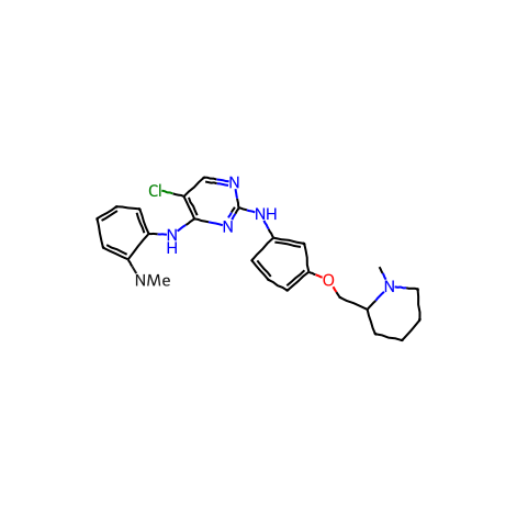 CNc1ccccc1Nc1nc(Nc2cccc(OCC3CCCCN3C)c2)ncc1Cl